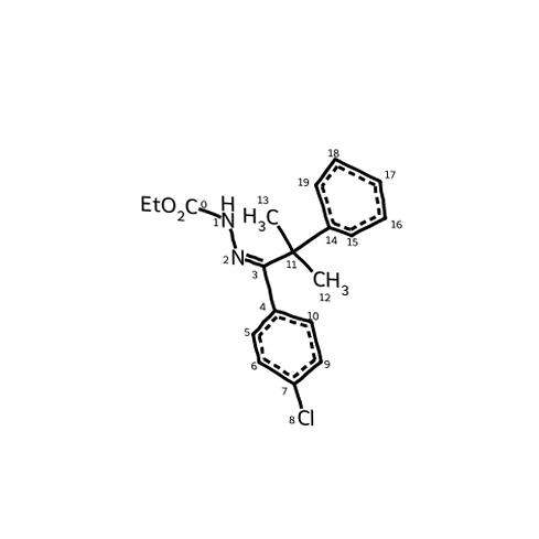 CCOC(=O)NN=C(c1ccc(Cl)cc1)C(C)(C)c1ccccc1